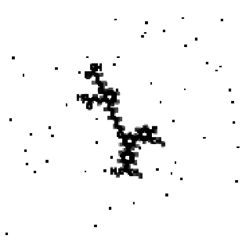 Cc1cc(-c2cc(OCCCCCCc3cccc(OCCCC(=O)O)c3CCC(=O)O)cc(-c3ccc(N(C)C)cc3)c2)ccc1F